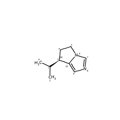 CC(C)[C@H]1CCn2cncc21